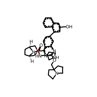 O=C(NC1CCNC1)N1[C@@H]2CC[C@H]1CN(c1nc(OCC34CCCN3CCC4)nc3cc(-c4cc(O)cc5ccccc45)ccc13)C2